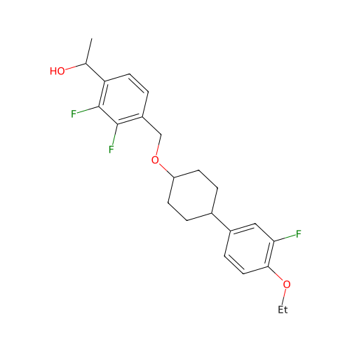 CCOc1ccc(C2CCC(OCc3ccc(C(C)O)c(F)c3F)CC2)cc1F